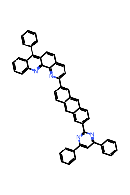 c1ccc(-c2cc(-c3ccccc3)nc(-c3ccc4cc5cc(-c6ccc7ccc8c(-c9ccccc9)c9ccccc9nc8c7n6)ccc5cc4c3)n2)cc1